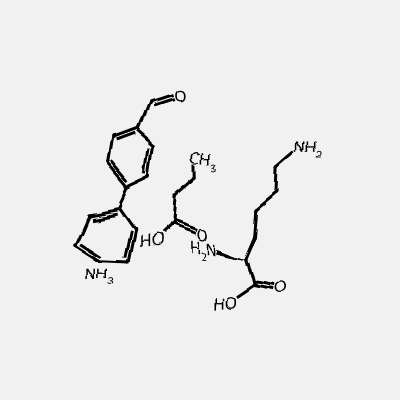 CCCC(=O)O.N.NCCCC[C@H](N)C(=O)O.O=Cc1ccc(-c2ccccc2)cc1